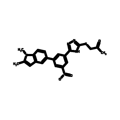 CC(=O)CSc1nnc(-c2cc(-c3ccc4c(c3)cc(C)n4C)cc([N+](=O)[O-])c2)[nH]1